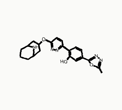 Cc1nnc(-c2ccc(-c3ccc(OC4CC5CCCC(C4)N5)nn3)c(O)c2)o1